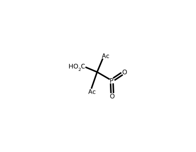 CC(=O)C(C(C)=O)(C(=O)O)P(=O)=O